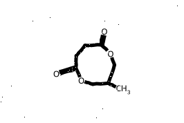 CC1COC(=O)CCC(=O)OC1